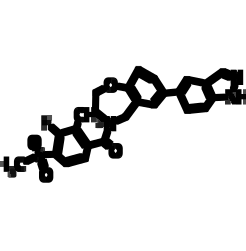 Cc1c(C(=O)N2CCOc3ccc(-c4ccc5[nH]ncc5c4)cc3C2)ccc(S(C)(=O)=O)c1F